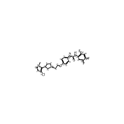 Cn1ncc(Cl)c1C1CCN(CCOc2ccc(NC(=O)Nc3cc(F)c(F)cc3F)cc2)C1